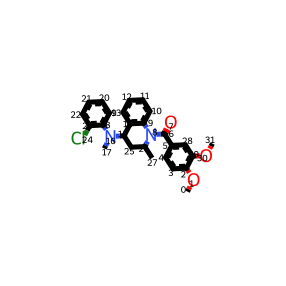 COc1ccc(C(=O)N2c3ccccc3C(N(C)c3ccccc3Cl)CC2C)cc1OC